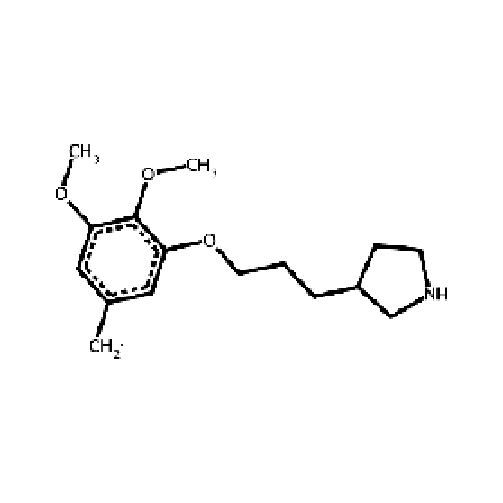 [CH2]c1cc(OC)c(OC)c(OCCCC2CCNC2)c1